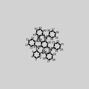 Brc1ccccc1N(c1ccccc1)c1cc(N(c2ccccc2)c2ccccc2)cc(N(c2ccccc2)c2ccccc2Br)c1